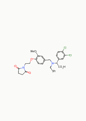 COc1cc(CN(CC(C)C)C(C(=O)O)c2ccc(Cl)c(Cl)c2)ccc1OCCN1C(=O)CCC1=O